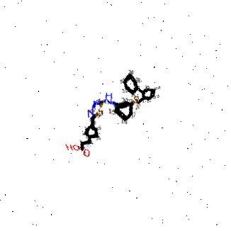 O=C(O)/C=C/c1ccc(-c2nnc(Nc3cccc(SCc4ccccc4-c4ccccc4)c3)s2)cc1